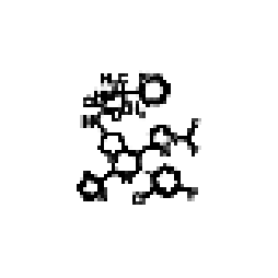 CC(C)(NS(=O)(=O)N[C@H]1CC2=C(c3ccn(C(F)F)n3)[C@H](c3ccc(F)cc3Cl)N=C(c3nccs3)N2C1)c1ccccn1